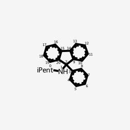 CCCC(C)NC1(c2ccccc2)c2ccccc2-c2ccccc21